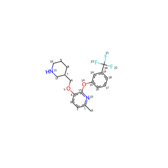 Cc1ccc(OCC2CCCNC2)c(Oc2cccc(C(F)(F)F)c2)n1